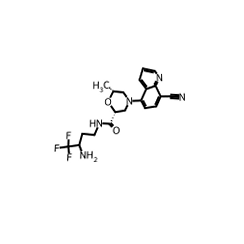 C[C@@H]1CN(c2ccc(C#N)c3ncccc23)C[C@H](C(=O)NCCC(N)C(F)(F)F)O1